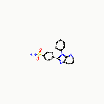 NS(=O)(=O)c1ccc(-c2nc3cccnc3n2-c2ccccc2)cc1